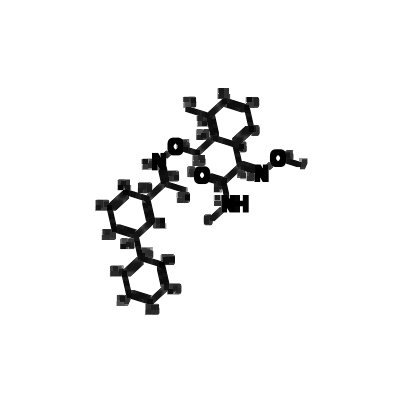 CNC(=O)/C(=N/OC)c1cccc(C)c1CO/N=C(\C)c1cccc(-c2ccccc2)c1